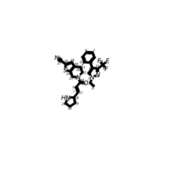 CCn1cc(-c2ccccc2[C@@H]2CN(C(=O)/C=C/C3CCCN3)Cc3sc(C#N)cc32)c(C(F)(F)F)n1